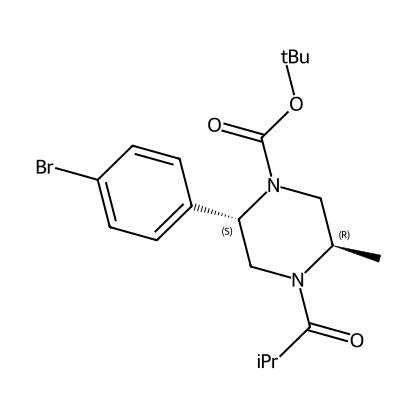 CC(C)C(=O)N1C[C@H](c2ccc(Br)cc2)N(C(=O)OC(C)(C)C)C[C@H]1C